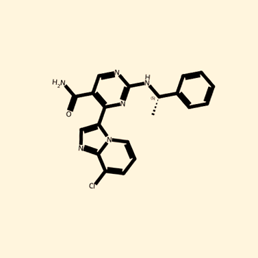 C[C@H](Nc1ncc(C(N)=O)c(-c2cnc3c(Cl)cccn23)n1)c1ccccc1